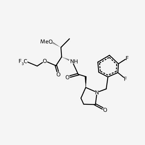 CO[C@H](C)[C@H](NC(=O)C[C@@H]1CCC(=O)N1Cc1cccc(F)c1F)C(=O)OCC(F)(F)F